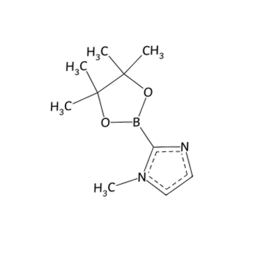 Cn1ccnc1B1OC(C)(C)C(C)(C)O1